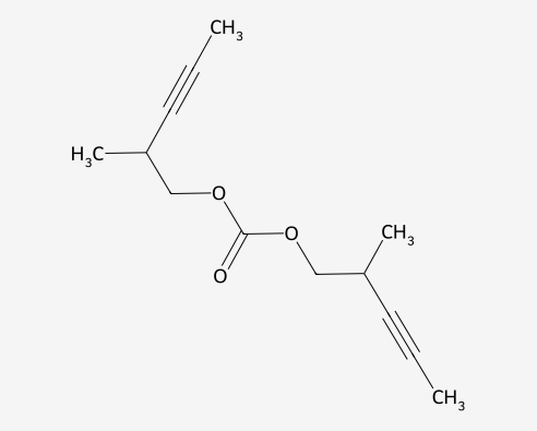 CC#CC(C)COC(=O)OCC(C)C#CC